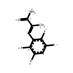 CC(=Cc1c(F)c(F)cc(F)c1F)C(N)=O